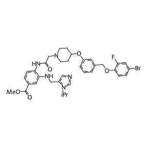 COC(=O)c1ccc(NC(=O)CN2CCC(Oc3cccc(COc4ccc(Br)cc4F)c3)CC2)c(NCc2cncn2C(C)C)c1